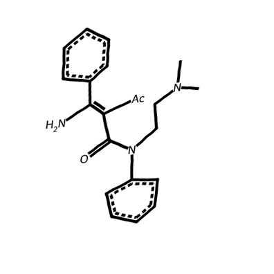 CC(=O)C(C(=O)N(CCN(C)C)c1ccccc1)=C(N)c1ccccc1